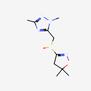 Cn1nc(C(F)(F)F)nc1C[S+]([O-])C1=NOC(C)(C)C1